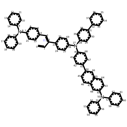 C=C/C(=C\c1ccc(N(c2ccccc2)c2ccccc2)cc1)c1ccc(N(c2ccc(-c3ccccc3)cc2)c2ccc(-c3ccc4cc(N(c5ccccc5)c5ccccc5)ccc4c3)cc2)cc1